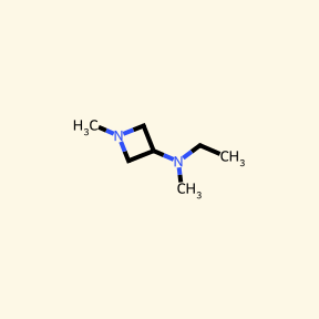 CCN(C)C1CN(C)C1